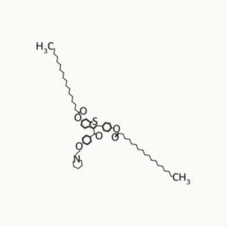 CCCCCCCCCCCCCCCCCC(=O)Oc1ccc(-c2sc3cc(OC(=O)CCCCCCCCCCCCCCCCC)ccc3c2C(=O)c2ccc(OCCN3CCCCC3)cc2)cc1